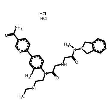 CCNCCN(C(=O)CNCC(=O)N(C)N1Cc2ccccc2C1)c1ccc(-c2ccc(C(N)=O)cn2)cc1C.Cl.Cl